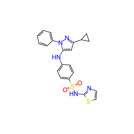 O=S(=O)(Nc1nccs1)c1ccc(Nc2cc(C3CC3)nn2-c2ccccc2)cc1